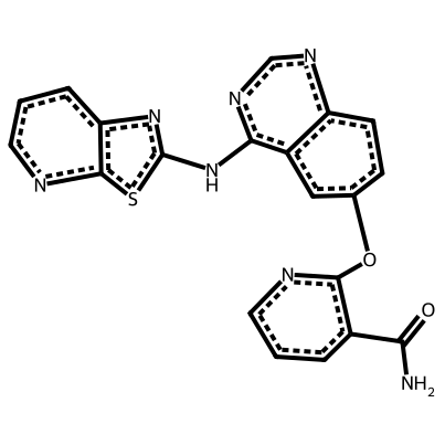 NC(=O)c1cccnc1Oc1ccc2ncnc(Nc3nc4cccnc4s3)c2c1